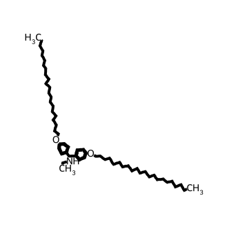 CCCCCCCCCCCCCCCCCCCCCCOc1ccc(C(NCC)c2ccc(OCCCCCCCCCCCCCCCCCCCCCC)cc2)cc1